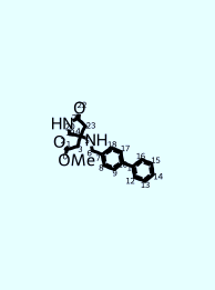 COC(=O)CC1(NCc2ccc(-c3ccccc3)cc2)CNC(=O)C1